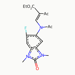 CCOC(=O)/C(=C/N(C(C)=O)c1cc2c(cc1F)n(C)c(=O)n2C)C(C)=O